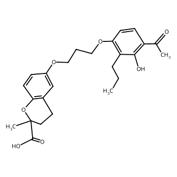 CCCc1c(OCCCOc2ccc3c(c2)CCC(C)(C(=O)O)O3)ccc(C(C)=O)c1O